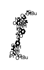 CC(NC(=O)C(NC(=O)OC(C)(C)C)C(C)C)C(=O)Nc1ccc(COC(=O)N(C)Cc2ccccc2C(=O)Nc2nc3c(ncn3[C@@H]3O[C@H](CO[Si](C)(C)C(C)(C)C)C[C@H]3O[Si](C)(C)C(C)(C)C)c(=O)[nH]2)cc1